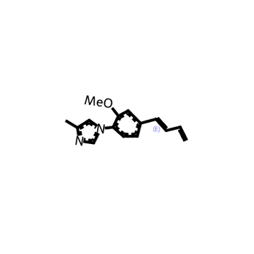 C=C/C=C/c1ccc(-n2cnc(C)c2)c(OC)c1